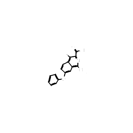 Bc1nc(C(=O)O)c(O)c2ccc(Oc3ccccc3)cc12